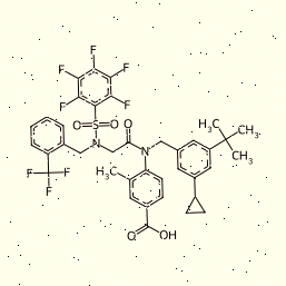 Cc1cc(C(=O)O)ccc1N(Cc1cc(C2CC2)cc(C(C)(C)C)c1)C(=O)CN(Cc1ccccc1C(F)(F)F)S(=O)(=O)c1c(F)c(F)c(F)c(F)c1F